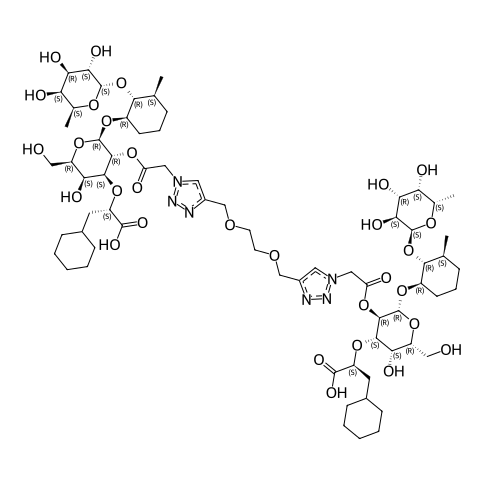 C[C@@H]1O[C@@H](O[C@@H]2[C@@H](C)CCC[C@H]2O[C@@H]2O[C@H](CO)[C@H](O)[C@H](O[C@@H](CC3CCCCC3)C(=O)O)[C@H]2OC(=O)Cn2cc(COCCOCc3cn(CC(=O)O[C@H]4[C@H](O[C@@H]5CCC[C@H](C)[C@H]5O[C@@H]5O[C@@H](C)[C@@H](O)[C@@H](O)[C@@H]5O)O[C@H](CO)[C@H](O)[C@@H]4O[C@@H](CC4CCCCC4)C(=O)O)nn3)nn2)[C@@H](O)[C@H](O)[C@@H]1O